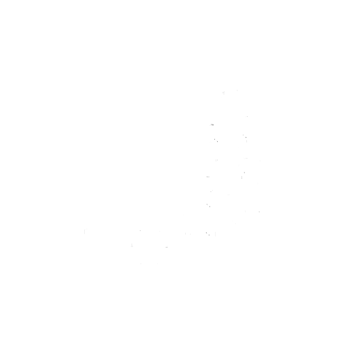 CCSc1ccc(CC(=O)Nc2cc(C)c3c(n2)CCC(C)(c2ncc(OC)cn2)C3=O)cc1